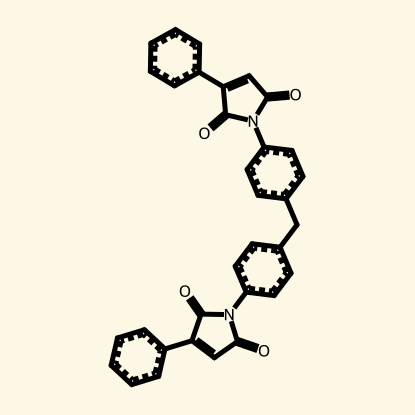 O=C1C=C(c2ccccc2)C(=O)N1c1ccc(Cc2ccc(N3C(=O)C=C(c4ccccc4)C3=O)cc2)cc1